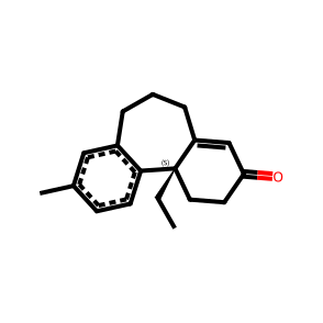 CC[C@]12CCC(=O)C=C1CCCc1cc(C)ccc12